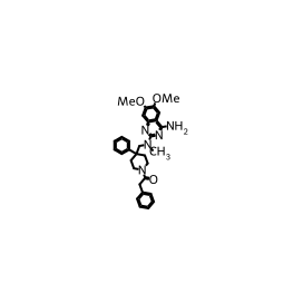 COc1cc2nc(N(C)CC3(c4ccccc4)CCN(C(=O)Cc4ccccc4)CC3)nc(N)c2cc1OC